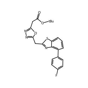 CC(C)(C)OC(=O)Cc1nnc(Cc2nc3c(-c4ccc(F)cc4)cccc3s2)o1